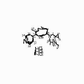 CNC1(CN(C)c2cnc(C)c(-c3ccncc3)c2)CC1.Cl.Cl.Cl